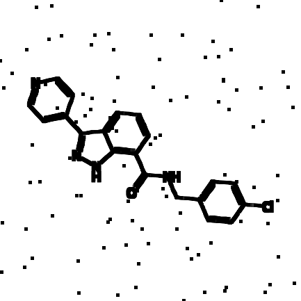 O=C(NCc1ccc(Cl)cc1)c1cccc2c(-c3ccncc3)n[nH]c12